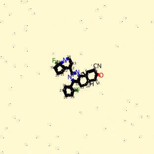 C[C@H]1C(=O)C(C#N)=C[C@@]2(C)c3nc(-c4ccnc5c(F)cccc45)nc(-c4ccccc4F)c3CC[C@H]12